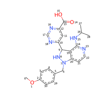 COc1ccc(CN2NC(c3cc(C(=O)O)ncn3)c3c2ccnc3NC(C)C)cc1